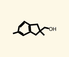 Cc1ccc2c(c1)CC(C)(CO)C2